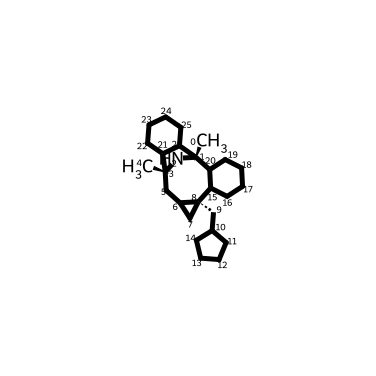 C[C@]12N[C@](C)(CC3C[C@]3(CC3CCCC3)C3CCCCC31)C1CCCCC12